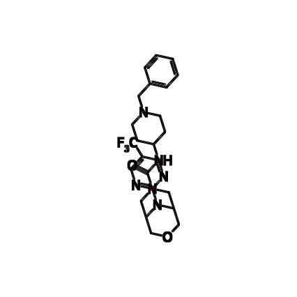 O=C(NC1CCN(Cc2ccccc2)CC1)N1CC2COCC(C1)N2c1ncc(C(F)(F)F)cn1